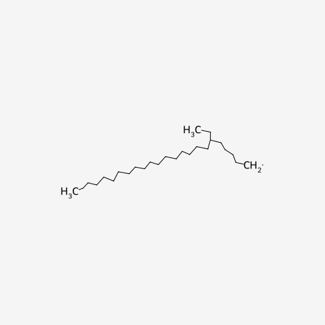 [CH2]CCCCC(CC)CCCCCCCCCCCCCCCCCC